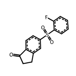 O=C1CCc2cc(S(=O)(=O)c3ccccc3F)ccc21